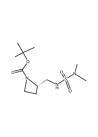 CN(C)S(=O)(=O)NC[C@@H]1CCN1C(=O)OC(C)(C)C